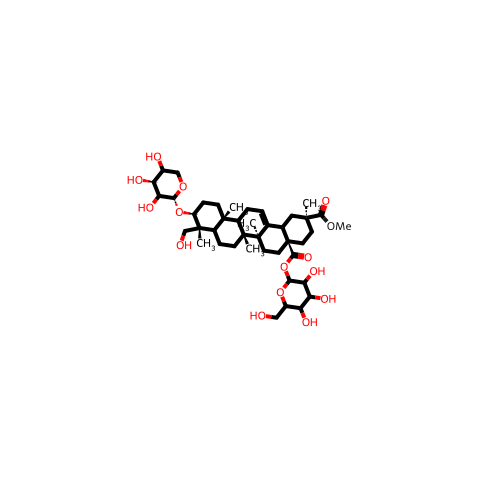 COC(=O)[C@@]1(C)CC[C@]2(C(=O)OC3OC(CO)C(O)C(O)C3O)CC[C@]3(C)C(=CCC4[C@@]5(C)CC[C@H](O[C@H]6OCC(O)[C@H](O)C6O)[C@@](C)(CO)C5CC[C@]43C)C2C1